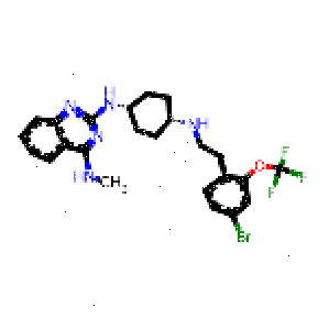 CNc1nc(N[C@H]2CC[C@@H](NCCc3ccc(Br)cc3OC(F)(F)F)CC2)nc2ccccc12